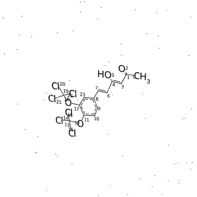 CC(=O)C=C(O)C=Cc1ccc(OC(Cl)(Cl)Cl)c(OC(Cl)(Cl)Cl)c1